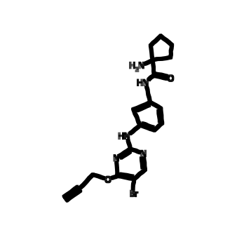 C#CCOc1nc(Nc2cccc(NC(=O)C3(N)CCCC3)c2)ncc1Br